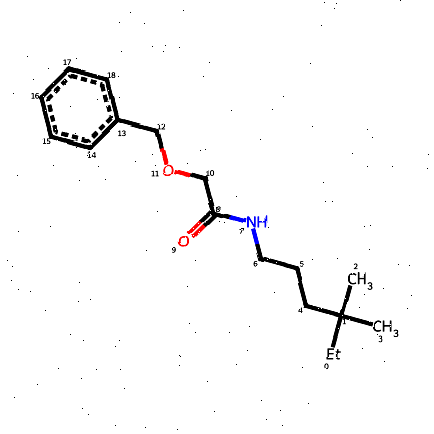 CCC(C)(C)CCCNC(=O)COCc1ccccc1